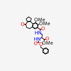 COC(=O)C(CNC(=O)c1cc2c(c(OC)c1OC)C1=C(CCC1)C(=O)CC2)NC(=O)OCc1ccccc1